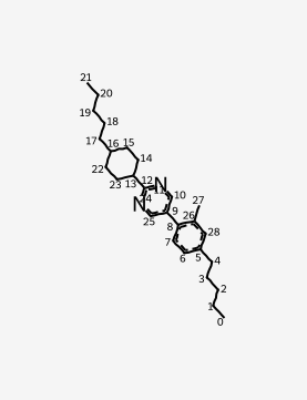 CCCCCc1ccc(-c2cnc(C3CCC(CCCCC)CC3)nc2)c(C)c1